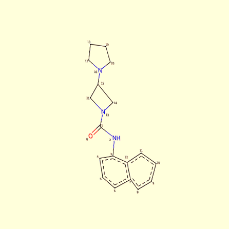 O=C(Nc1cccc2ccccc12)N1CC(N2CCCC2)C1